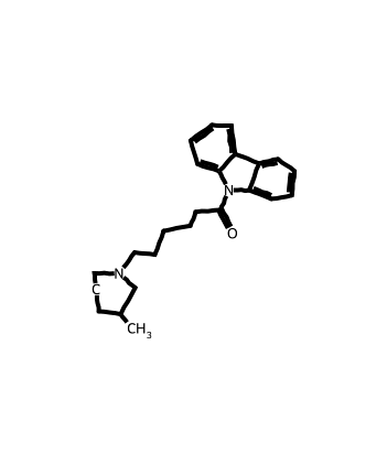 CC1CCCN(CCCCCC(=O)n2c3ccccc3c3ccccc32)C1